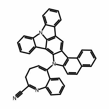 N#C/C1=N/c2ccccc2/C(n2c3ccc4ccccc4c3c3cc4c5ccccc5n5c6ccccc6c(c32)c45)=C\CC1